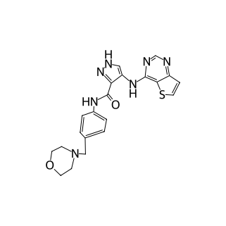 O=C(Nc1ccc(CN2CCOCC2)cc1)c1n[nH]cc1Nc1ncnc2ccsc12